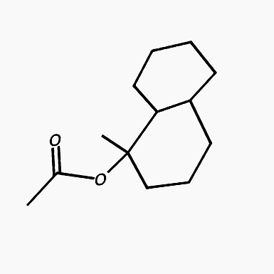 CC(=O)OC1(C)CCCC2CCCCC21